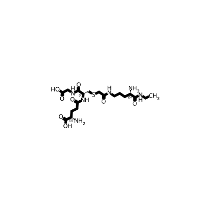 CCNC(=O)[C@@H](N)CCCNC(=O)CSC[C@H](NC(=O)CC[C@H](N)C(=O)O)C(=O)NCC(=O)O